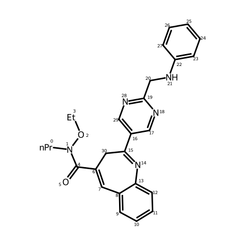 CCCN(OCC)C(=O)C1=Cc2ccccc2N=C(c2cnc(CNc3ccccc3)nc2)C1